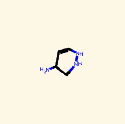 NC1C=CNNC1